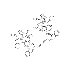 C[C@@H](C(=O)N[C@H](C(=O)N1CCC[C@H]1C(=O)N[C@H]1c2ccccc2C[C@H]1OCC#CC#CCO[C@@H]1Cc2ccccc2[C@@H]1NC(=O)[C@@H]1CCCN1C(=O)[C@@H](NC(=O)[C@H](C)N(C)C(=O)OC(C)(C)C)C1CCCCC1)C1CCCCC1)N(C)C(=O)OC(C)(C)C